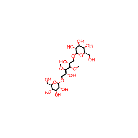 CO[C@@H]([C@H](OC)[C@H](O)CO[C@@H]1O[C@H](CO)[C@@H](O)[C@H](O)[C@H]1O)[C@H](O)COC1O[C@H](CO)[C@@H](O)[C@H](O)[C@H]1O